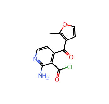 Cc1occc1C(=O)c1ccnc(N)c1C(=O)Cl